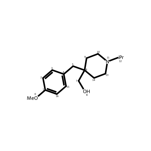 COc1ccc(CC2(CO)CCN(C(C)C)CC2)cc1